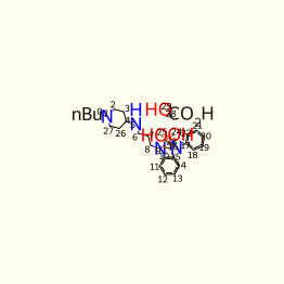 CCCCN1CCC(NCCCN2c3ccccc3N(c3ccccc3)S2(O)O)CC1.O=C(O)O